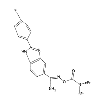 CCCN(CCC)C(=O)ON=C(N)c1ccc2[nH]c(-c3ccc(F)cc3)nc2c1